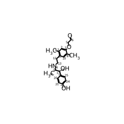 Cc1cc(OCC=O)c(C)cc1CCN[C@@H](C)[C@@H](O)c1ccc(O)cc1